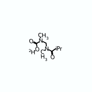 [2H]OC(=O)N(C)CN(C)C(=O)C(C)C